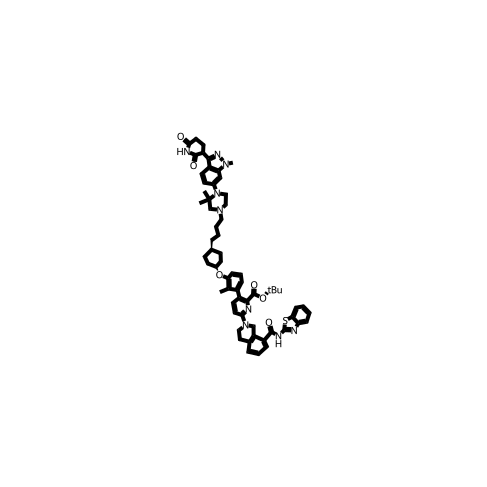 Cc1c(O[C@H]2CC[C@H](CCCCN3CCN(c4ccc5c(C6CCC(=O)NC6=O)nn(C)c5c4)C(C)(C)C3)CC2)cccc1-c1ccc(N2CCc3cccc(C(=O)Nc4nc5ccccc5s4)c3C2)nc1C(=O)OC(C)(C)C